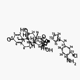 C[C@]12C=CC(=O)C=C1CC[C@@H]1[C@@H]2[C@@H](O)C[C@@]2(C)[C@H]1C[C@H]1O[C@@H](c3ccn(Cc4ccc(N)c(Cl)c4)c3)O[C@]12C(=O)CO